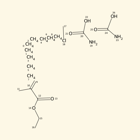 C.C.C.C.C.C.C.C.C.C=C(C)C(=O)OCC.CCl.NC(=O)O.NC(=O)O